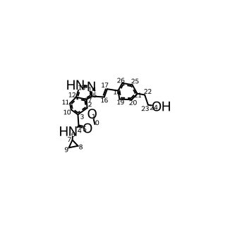 COc1c(C(=O)NC2CC2)ccc2[nH]nc(C=Cc3ccc(CCO)cc3)c12